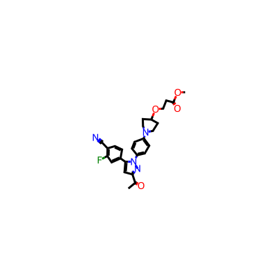 COC(=O)CCOC1CCN(c2ccc(-n3nc(C(C)=O)cc3-c3ccc(C#N)c(F)c3)cc2)CC1